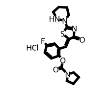 Cl.O=C1N=C(N2CCCCN2)SC1=Cc1cc(F)ccc1OC(=O)N1CCCC1